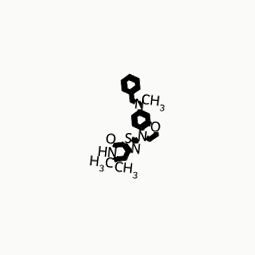 CN(Cc1ccccc1)c1ccc2c(c1)OCCN2c1nc2c(s1)C(=O)NC(C)(C)C2